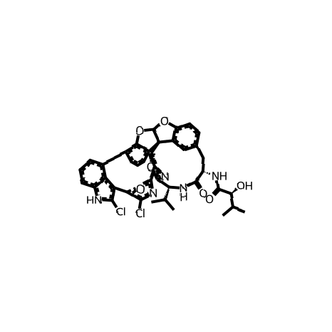 CC(C)[C@H](O)C(=O)N[C@H]1Cc2ccc3c(c2)C24c5cccc(c5OC2O3)-c2cccc3[nH]c(Cl)c(c23)-c2oc(nc2Cl)-c2nc(oc24)[C@H](C(C)C)NC1=O